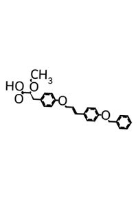 CCO[C@@H](Cc1ccc(OCC=Cc2ccc(OCc3ccccc3)cc2)cc1)C(=O)O